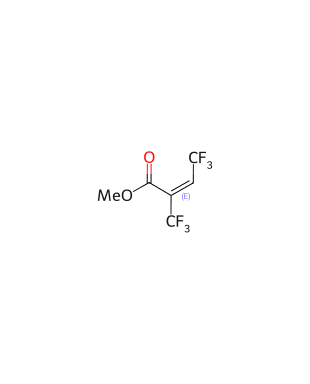 COC(=O)/C(=C\C(F)(F)F)C(F)(F)F